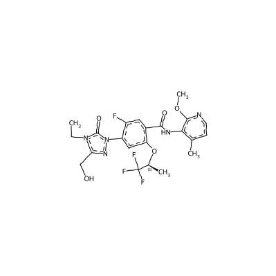 CCn1c(CO)nn(-c2cc(O[C@@H](C)C(F)(F)F)c(C(=O)Nc3c(C)ccnc3OC)cc2F)c1=O